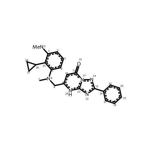 CNc1cccc(N(C)Cc2cc(=O)n3nc(-c4ccccc4)nc3[nH]2)c1C1CC1